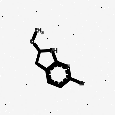 COC1Cc2ccc(Br)nc2N1